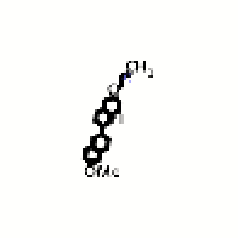 C/C=C/CO[C@@H]1CC[C@@H]2CC(C3CCc4cc(OC)ccc4C3)CCC2C1